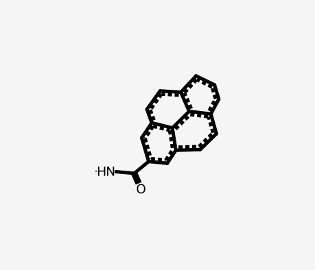 [NH]C(=O)c1cc2ccc3cccc4ccc(c1)c2c34